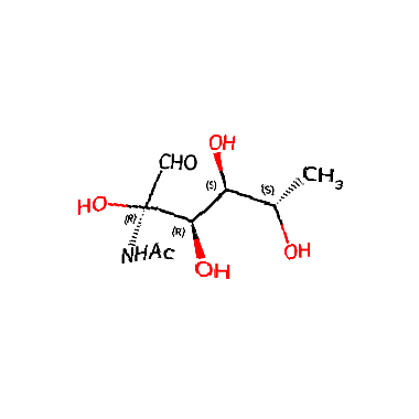 CC(=O)N[C@](O)(C=O)[C@H](O)[C@@H](O)[C@H](C)O